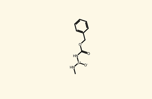 CN[S+]([O-])NC(=O)OCc1ccccc1